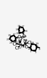 Cc1ccc(OP2(Cl)=NP(Cl)(Cl)=NP(Oc3ccccc3)(Oc3ccccc3)=N2)cc1